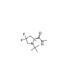 CNC(=O)[C@@H]1CC(F)(F)CN1C(C)(C)C